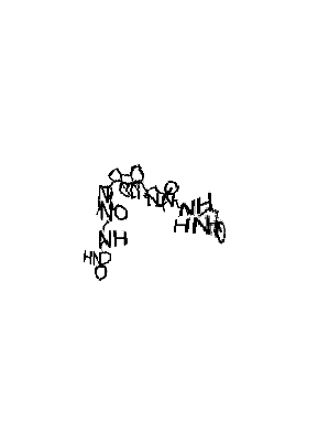 Cc1cn2cc(-c3cccc(-c4cccc(-c5cc6c(=O)n(CCNC[C@@H]7CCC(=O)N7)c(C)cn6c5)c4Cl)c3Cl)cc2c(=O)n1CCNC[C@@H]1CCC(=O)N1